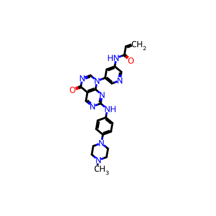 C=CC(=O)Nc1cncc(-n2cnc(=O)c3cnc(Nc4ccc(N5CCN(C)CC5)cc4)nc32)c1